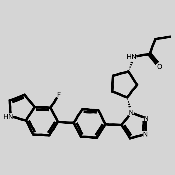 CCC(=O)N[C@H]1CC[C@@H](n2nncc2-c2ccc(-c3ccc4[nH]ccc4c3F)cc2)C1